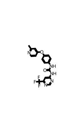 Cc1cc(Oc2ccc(NC(=O)Nc3cc(C(F)(F)F)ncn3)cc2)ccn1